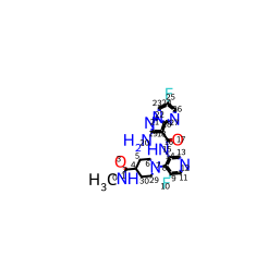 CNC(=O)C1CCN(c2c(F)cncc2NC(=O)c2c(N)nn3cc(F)cnc23)CC1